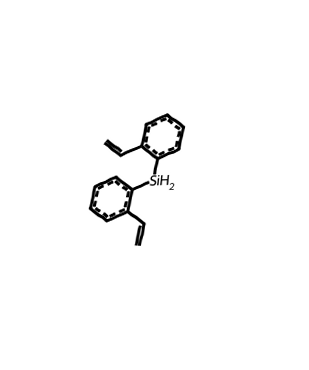 C=Cc1ccccc1[SiH2]c1ccccc1C=C